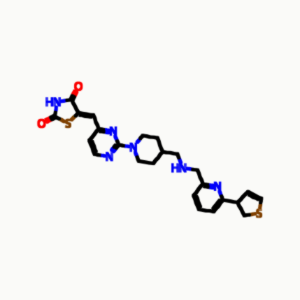 O=C1NC(=O)/C(=C/c2ccnc(N3CCC(CNCc4cccc(C5C=CSC5)n4)CC3)n2)S1